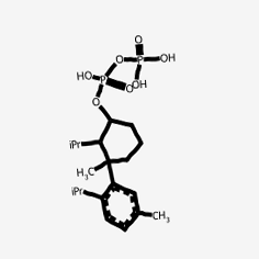 Cc1ccc(C(C)C)c(C2(C)CCCC(OP(=O)(O)OP(=O)(O)O)C2C(C)C)c1